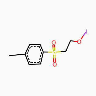 Cc1ccc(S(=O)(=O)CCOI)cc1